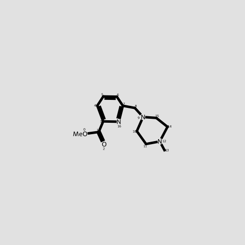 COC(=O)c1cccc(CN2CCN(C)CC2)n1